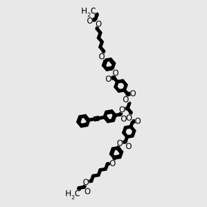 C=CC(=O)OCCCCCCOc1ccc(OC(=O)C2CCC(C(=O)OCC(COC(=O)C3CCC(C(=O)Oc4ccc(OCCCCCCOC(=O)C=C)cc4)CC3)OC(=O)c3ccc(C#Cc4ccccc4)cc3)CC2)cc1